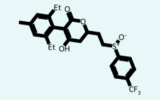 CCc1cc(C)cc(CC)c1C1=C(O)CC(CC[S+]([O-])c2ccc(C(F)(F)F)cc2)OC1=O